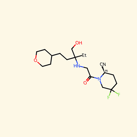 CCC(CO)(CCC1CCOCC1)NCC(=O)N1CC(F)(F)CC[C@@H]1C#N